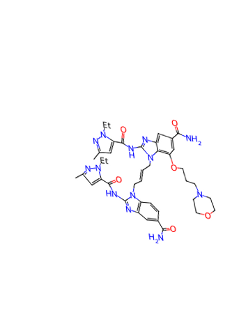 CCn1nc(C)cc1C(=O)Nc1nc2cc(C(N)=O)ccc2n1CC=CCn1c(NC(=O)c2cc(C)nn2CC)nc2cc(C(N)=O)cc(OCCCN3CCOCC3)c21